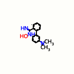 CN(C)c1cccc(-c2ccc[c]c2C(=N)NO)c1